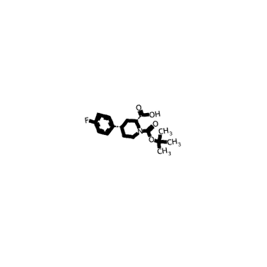 CC(C)(C)OC(=O)N1CC[C@H](c2ccc(F)cc2)C[C@@H]1C(=O)O